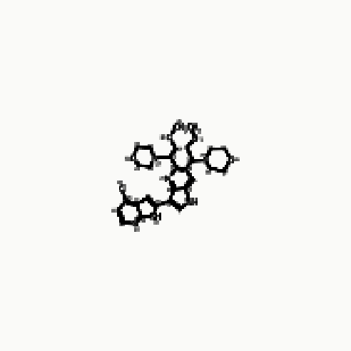 COCC(c1cc2[nH]cc(-c3cc4c(Cl)ccnc4[nH]3)c2nc1C(COC)N1CCOCC1)N1CCOCC1